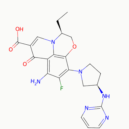 CC[C@H]1COc2c(N3CC[C@@H](Nc4ncccn4)C3)c(F)c(N)c3c(=O)c(C(=O)O)cn1c23